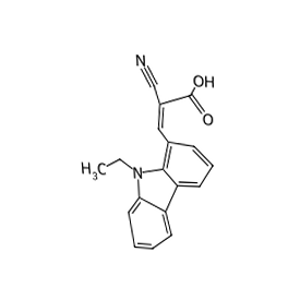 CCn1c2ccccc2c2cccc(C=C(C#N)C(=O)O)c21